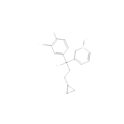 CN1C=CC=C(C(O)(CCC2CC2)c2ccc(F)c(N)c2)C1